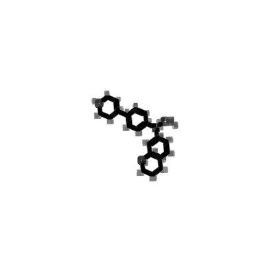 CN(c1ccc(C2=CCOCC2)cc1)c1ccc2c(c1)OCCC2